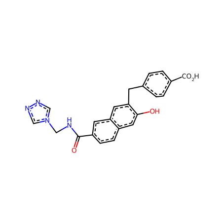 O=C(O)c1ccc(Cc2cc3cc(C(=O)NCn4cnnc4)ccc3cc2O)cc1